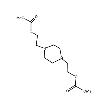 COC(=O)OCCN1CCN(CCOC(=O)OC)CC1